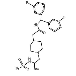 CC(C)S(=O)(=O)NC(CN1CCC(CC(=O)NC(c2cccc(F)c2)c2cccc(F)c2)CC1)C(C)(C)C